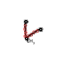 Cc1ccc(OCCOCCOCCOCc2ccccc2)c(OCCOCCOCCOCc2ccccc2)c1